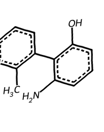 Cc1ncccc1-c1c(N)cccc1O